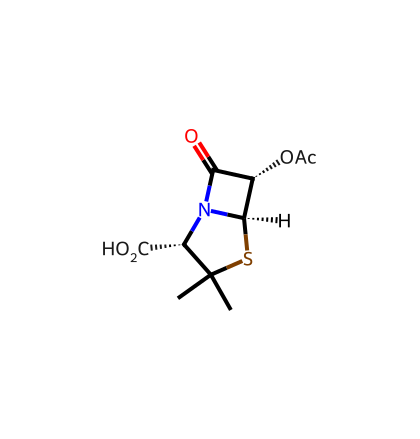 CC(=O)O[C@H]1C(=O)N2[C@@H]1SC(C)(C)[C@@H]2C(=O)O